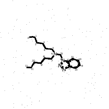 CCCCCCN(CCCCCC)Cn1nnc2ccccc21